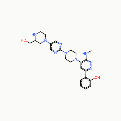 CNc1nnc(-c2ccccc2O)cc1N1CCN(c2ncc(N3CCNC(CO)C3)cn2)CC1